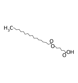 CCCCCCCCCCCCCCCCCC(=O)OCCCCCC(=O)O